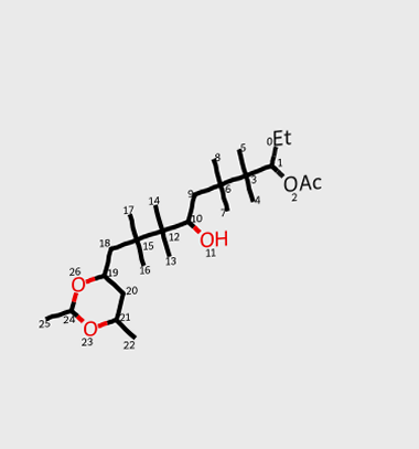 CCC(OC(C)=O)C(C)(C)C(C)(C)CC(O)C(C)(C)C(C)(C)CC1CC(C)OC(C)O1